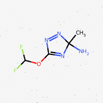 CC1(N)N=NC(OC(F)F)=N1